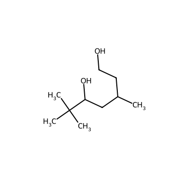 CC(CCO)CC(O)C(C)(C)C